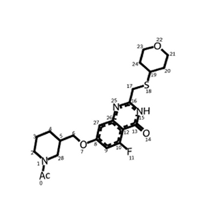 CC(=O)N1CCCC(COc2cc(F)c3c(=O)[nH]c(CSC4CCOCC4)nc3c2)C1